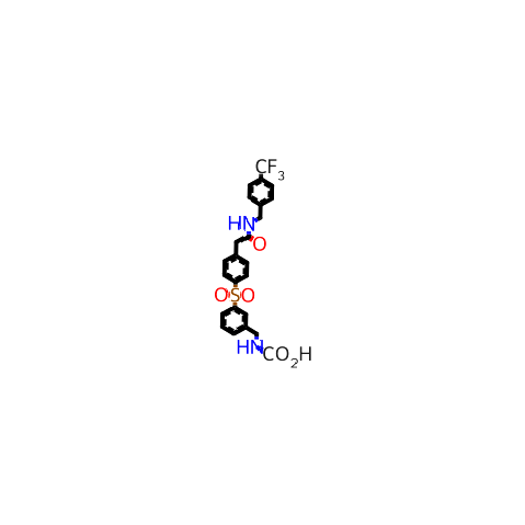 O=C(O)NCc1cccc(S(=O)(=O)c2ccc(CC(=O)NCc3ccc(C(F)(F)F)cc3)cc2)c1